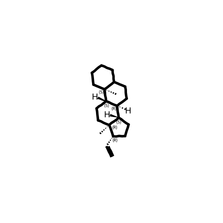 C=C[C@H]1CC[C@H]2[C@@H]3CCC4CCCC[C@]4(C)[C@H]3CC[C@]12C